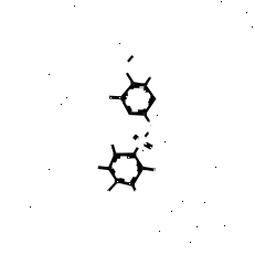 COc1c(F)cc(NS(=O)(=O)c2c(F)c(F)c(F)c(F)c2F)cc1F